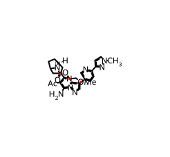 COCCOC(=O)N1C2CC[C@H]1CC(c1nc3c(-c4ccc(-c5ccn(C)n5)nc4)cnn3c(N)c1C(C)=O)C2